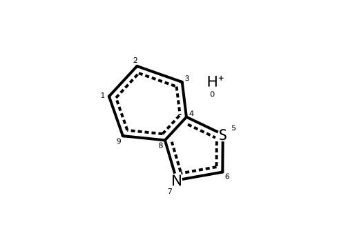 [H+].c1ccc2scnc2c1